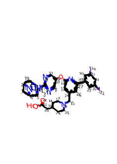 CN1C2CC1CN(c1ncc(Oc3cc(CN4CCC(CC(=O)O)CC4)cc(-c4cc(I)cc(I)c4)n3)cn1)C2